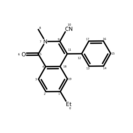 CCc1ccc2c(=O)n(C)c(C#N)c(-c3ccccc3)c2c1